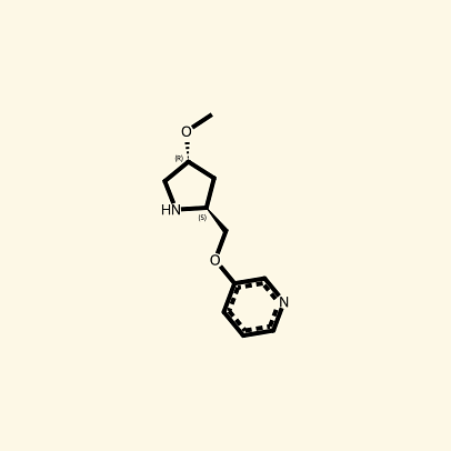 CO[C@H]1CN[C@H](COc2cccnc2)C1